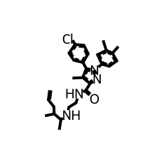 C=CCC(C)C(C)NCCNC(=O)c1nn(-c2ccc(C)c(C)c2)c(-c2ccc(Cl)cc2)c1C